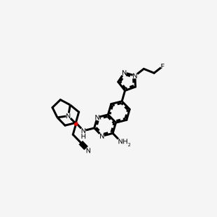 N#CCCN1C2CCC1CC(Nc1nc(N)c3ccc(-c4cnn(CCF)c4)cc3n1)C2